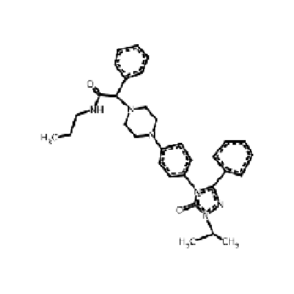 CCCNC(=O)C(c1ccccc1)N1CCN(c2ccc(-n3c(-c4ccccc4)nn(C(C)C)c3=O)cc2)CC1